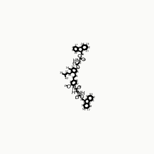 COc1cc(/C=C/c2cc(OC(=O)CNC(=O)OCC3c4ccccc4-c4ccccc43)cc(C)c2CC=C(C)C)ccc1NC(=O)CNC(=O)OCC1c2ccccc2-c2ccccc21